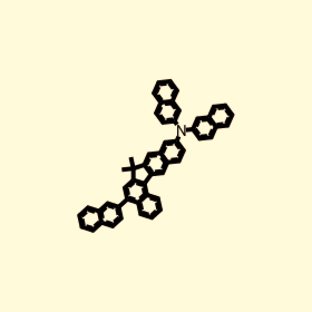 CC1(C)c2cc3cc(N(c4ccc5ccccc5c4)c4ccc5ccccc5c4)ccc3cc2-c2c1cc(-c1ccc3ccccc3c1)c1ccccc21